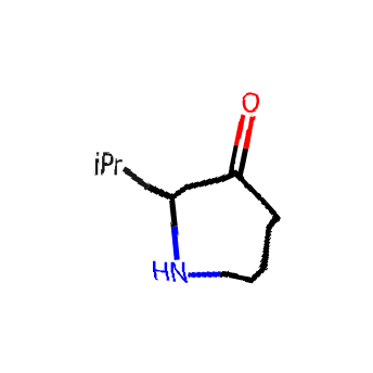 CC(C)C1NCCC1=O